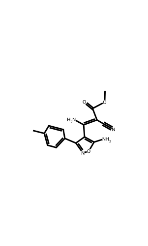 COC(=O)C(C#N)=C(N)c1c(-c2ccc(C)cc2)noc1N